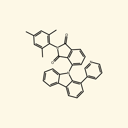 Cc1cc(C)c(N2C(=O)c3cccc(-n4c5ccccc5c5cccc(-c6cccnc6)c54)c3C2=O)c(C)c1